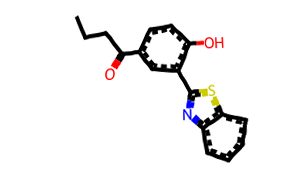 CCCC(=O)c1ccc(O)c(-c2nc3ccccc3s2)c1